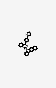 c1ccc(-c2ccc(-c3nc(-n4c5ccccc5c5cc6ccccc6cc54)nc4ccccc34)cc2)nc1